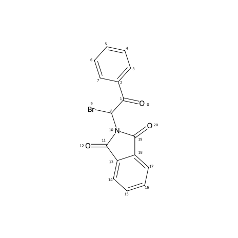 O=C(c1ccccc1)C(Br)N1C(=O)c2ccccc2C1=O